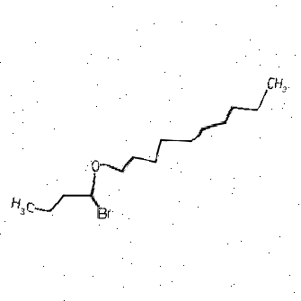 CCCCCCCCCCOC(Br)CCC